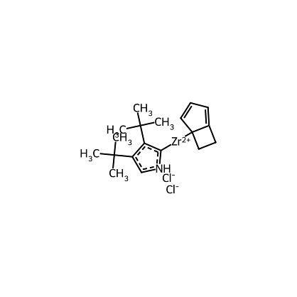 CC(C)(C)c1c[nH][c]([Zr+2][C]23C=CC=C2CC3)c1C(C)(C)C.[Cl-].[Cl-]